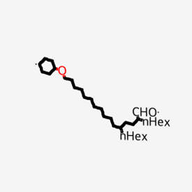 CCCCCCC([C]=O)CCC(CCCCCC)CCCCCCCCCCCOC1CC[CH]CC1